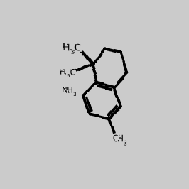 Cc1ccc2c(c1)CCCC2(C)C.N